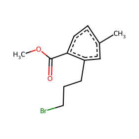 COC(=O)c1ccc(C)cc1CCCBr